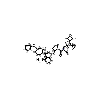 CC(C)(/C=C(\C#N)C(=O)N1CCCC1Cn1nc(C2=C(F)C=C(Oc3ccccc3)CC=C2)c2c(N)ncnc21)N(C1CC1)C1COC1